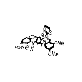 CN[C@H]1CCCC[C@@H]1Nc1cc(F)c(S(=O)(=O)N(Cc2ccc(OC)cc2OC)c2nccs2)cc1Cl